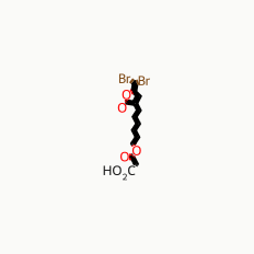 O=C(O)CC(=O)OCCCCCCC1=CC(=C(Br)Br)OC1=O